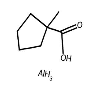 CC1(C(=O)O)CCCC1.[AlH3]